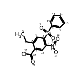 CCc1cc(S(=O)(=O)c2ccccc2)c([N+](=O)[O-])cc1C(=O)Cl